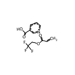 C=CC(=O)OCC(F)(F)F.O=C(O)c1cccnc1